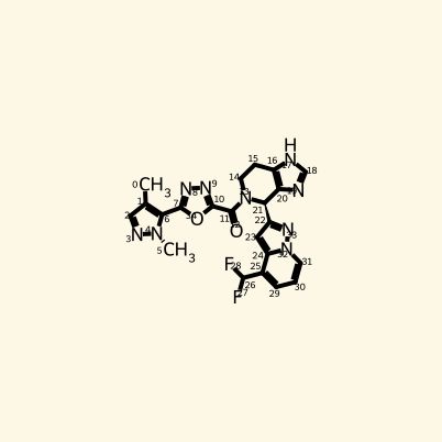 Cc1cnn(C)c1-c1nnc(C(=O)N2CCc3[nH]cnc3[C@H]2c2cc3c(C(F)F)cccn3n2)o1